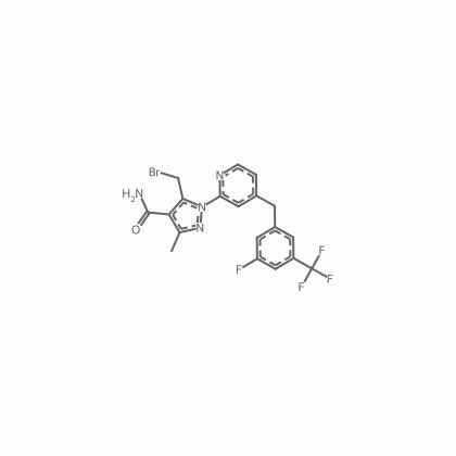 Cc1nn(-c2cc(Cc3cc(F)cc(C(F)(F)F)c3)ccn2)c(CBr)c1C(N)=O